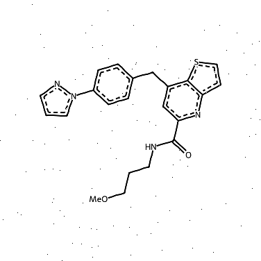 COCCCNC(=O)c1cc(Cc2ccc(-n3cccn3)cc2)c2sccc2n1